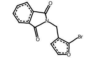 O=C1c2ccccc2C(=O)N1Cc1ccoc1Br